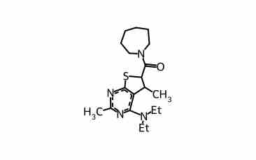 CCN(CC)c1nc(C)nc2c1C(C)C(C(=O)N1CCCCCC1)S2